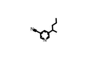 CCCC(C)c1cncc(C#N)c1